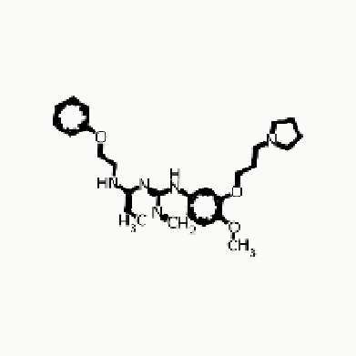 C=N/C(=N\C(=C/C)NCCOc1ccccc1)Nc1ccc(OC)c(OCCCN2CCCC2)c1